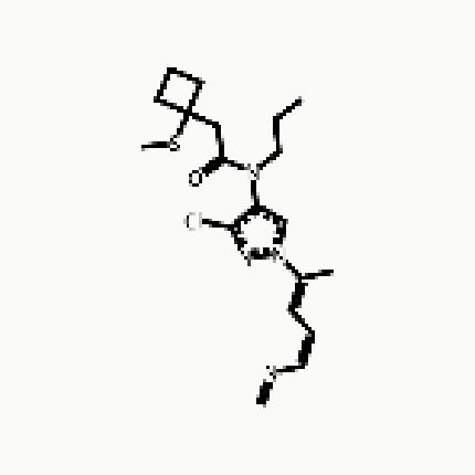 C=N/C=C\C=C(/C)n1cc(N(CCC)C(=O)CC2(SC)CCC2)c(Cl)n1